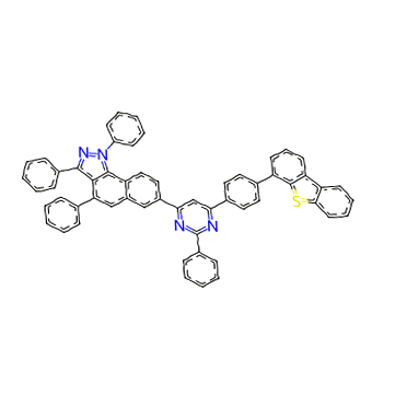 c1ccc(-c2nc(-c3ccc(-c4cccc5c4sc4ccccc45)cc3)cc(-c3ccc4c(c3)cc(-c3ccccc3)c3c(-c5ccccc5)nn(-c5ccccc5)c34)n2)cc1